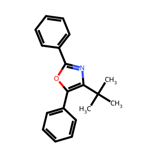 CC(C)(C)c1nc(-c2ccccc2)oc1-c1ccccc1